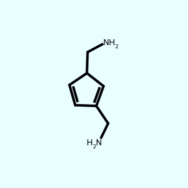 NCC1=CC(CN)C=C1